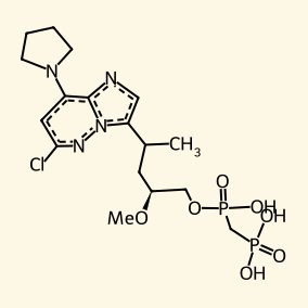 CO[C@H](COP(=O)(O)CP(=O)(O)O)CC(C)c1cnc2c(N3CCCC3)cc(Cl)nn12